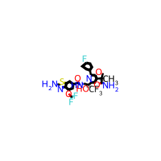 C[C@]1(C(N)=O)COc2c1cc([C@@](O)(CNC(=O)c1cc(OC(F)F)c3nc(N)sc3c1)C(F)(F)F)nc2-c1ccc(F)cc1